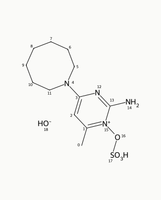 Cc1cc(N2CCCCCCC2)nc(N)[n+]1OS(=O)(=O)O.[OH-]